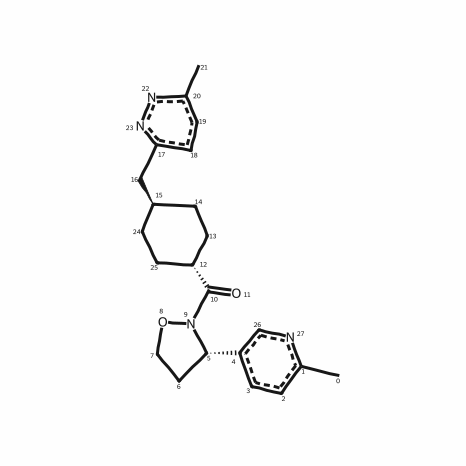 Cc1ccc([C@@H]2CCON2C(=O)[C@H]2CC[C@H](Cc3ccc(C)nn3)CC2)cn1